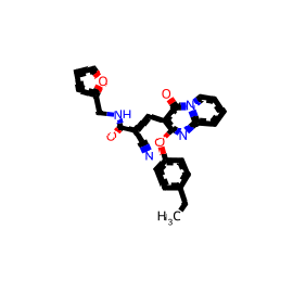 CCc1ccc(Oc2nc3ccccn3c(=O)c2/C=C(\C#N)C(=O)NCc2ccco2)cc1